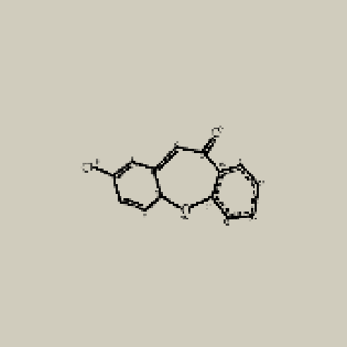 O=C1C=C2C=C(Cl)C=CC2Oc2ccccc21